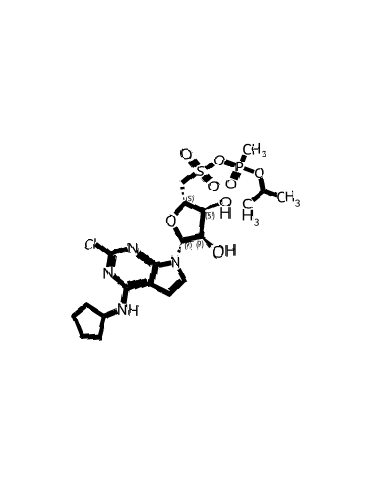 CC(C)OP(C)(=O)OS(=O)(=O)C[C@H]1O[C@@H](n2ccc3c(NC4CCCC4)nc(Cl)nc32)[C@H](O)[C@@H]1O